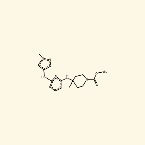 Cn1cc(Nc2nccc(NC3(C)CCN(C(=O)OC(C)(C)C)CC3)n2)cn1